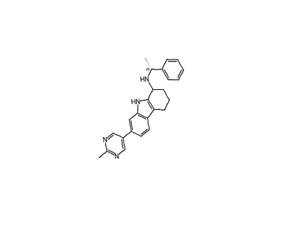 Cc1ncc(-c2ccc3c4c([nH]c3c2)C(N[C@H](C)c2ccccc2)CCC4)cn1